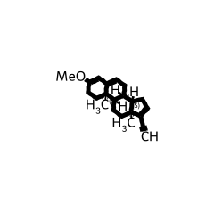 C#CC1=CC[C@H]2[C@@H]3CC=C4C=C(OC)CC[C@]4(C)[C@H]3CC[C@]12C